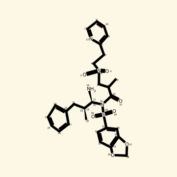 CC(CS(=O)(=O)CCc1ccccn1)C(=O)N([C@H](N)[C@@H](C)Cc1ccccc1)S(=O)(=O)c1ccc2c(c1)OCO2